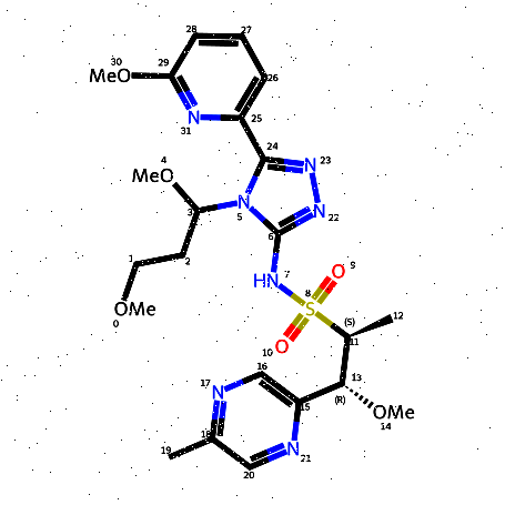 COCCC(OC)n1c(NS(=O)(=O)[C@@H](C)[C@H](OC)c2cnc(C)cn2)nnc1-c1cccc(OC)n1